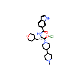 CN1CCC(C2CCN(C(=O)[C@H](CC3CCOCC3)NC(=O)c3ccc4cc[nH]c4c3)CC2)CC1.Cl